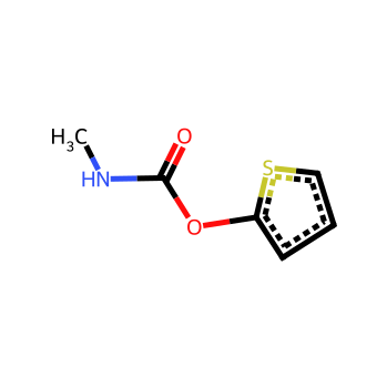 CNC(=O)Oc1cccs1